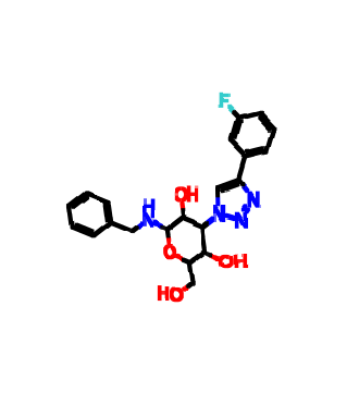 OCC1O[C@@H](NCc2ccccc2)C(O)C(n2cc(-c3cccc(F)c3)nn2)[C@H]1O